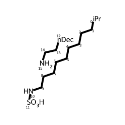 CC(C)CCCCCCCCCNS(=O)(=O)O.CCCCCCCCCCCCN